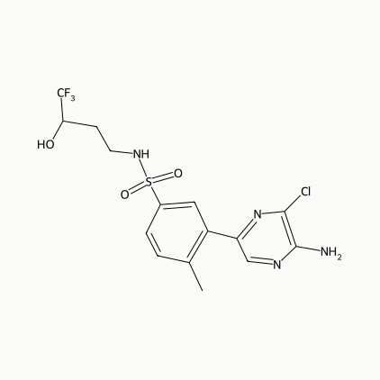 Cc1ccc(S(=O)(=O)NCCC(O)C(F)(F)F)cc1-c1cnc(N)c(Cl)n1